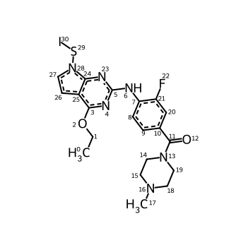 CCOc1nc(Nc2ccc(C(=O)N3CCN(C)CC3)cc2F)nc2c1ccn2SI